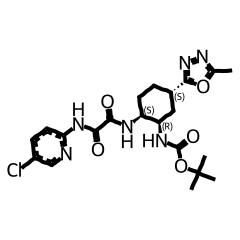 Cc1nnc([C@H]2CC[C@H](NC(=O)C(=O)Nc3ccc(Cl)cn3)[C@H](NC(=O)OC(C)(C)C)C2)o1